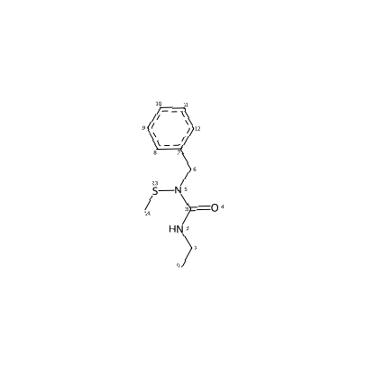 CCNC(=O)N(Cc1ccccc1)SC